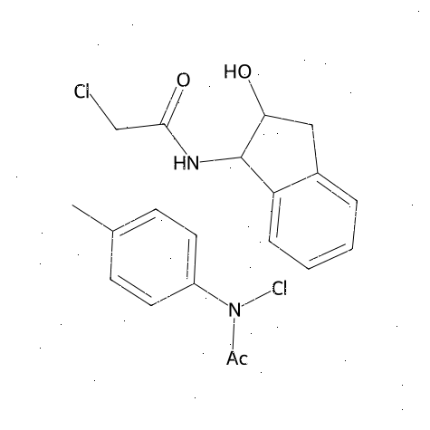 CC(=O)N(Cl)c1ccc(C)cc1.O=C(CCl)NC1c2ccccc2CC1O